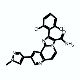 Cn1cc(-c2cnc3ccn4c(C(N)=O)c(-c5c(Cl)cccc5Cl)nc4c3c2)cn1